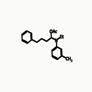 CCN(c1cccc(C)c1)C(CCCc1ccccc1)OC(C)=O